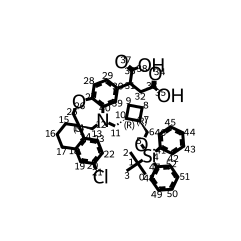 CC(C)(C)[Si](OC[C@@H]1CC[C@H]1CN1C[C@@]2(CCCc3cc(Cl)ccc32)COc2ccc(C(CC(=O)O)C(=O)O)cc21)(c1ccccc1)c1ccccc1